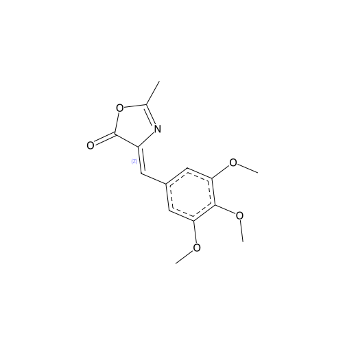 COc1cc(/C=C2\N=C(C)OC2=O)cc(OC)c1OC